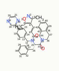 Cc1noc(C)c1/C=C/C(=O)N(Cc1ccc(-c2cnccn2)cc1)[C@@H](Cc1ccccc1)C(=O)N1CCc2ccccc2C1